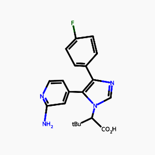 CC(C)(C)C(C(=O)O)n1cnc(-c2ccc(F)cc2)c1-c1ccnc(N)c1